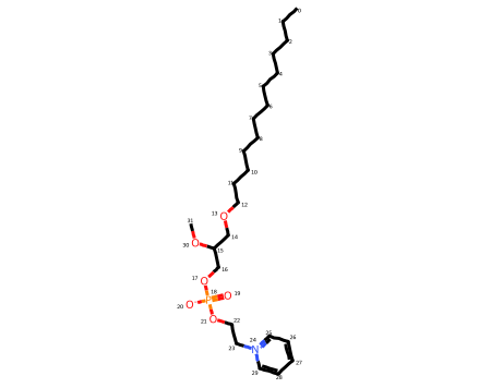 CCCCCCCCCCCCCOCC(COP(=O)([O-])OCC[n+]1ccccc1)OC